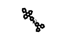 c1ccc(-c2cc3nc(-c4ccc(-c5c6ccccc6c(-c6ccccc6)c6ccccc56)cc4)oc3cc2-c2ccccc2)cc1